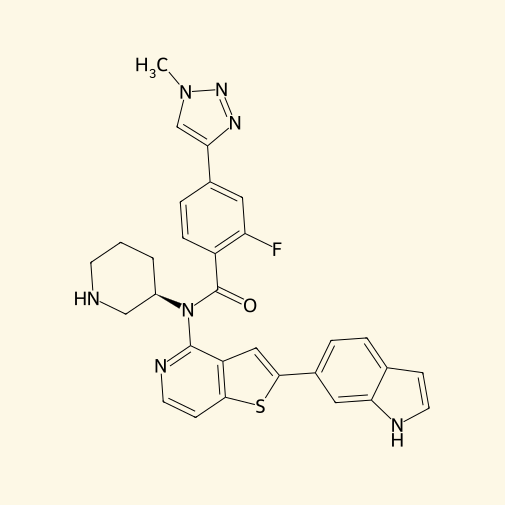 Cn1cc(-c2ccc(C(=O)N(c3nccc4sc(-c5ccc6cc[nH]c6c5)cc34)[C@@H]3CCCNC3)c(F)c2)nn1